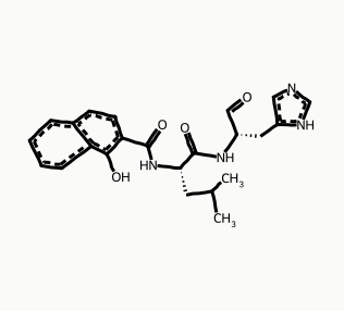 CC(C)C[C@H](NC(=O)c1ccc2ccccc2c1O)C(=O)N[C@H](C=O)Cc1cnc[nH]1